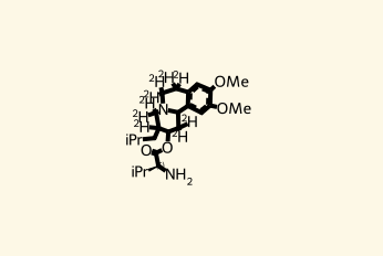 [2H]C1([2H])C2c3cc(OC)c(OC)cc3C([2H])([2H])C([2H])([2H])N2C([2H])([2H])C([2H])(CC(C)C)C1OC(=O)[C@@H](N)C(C)C